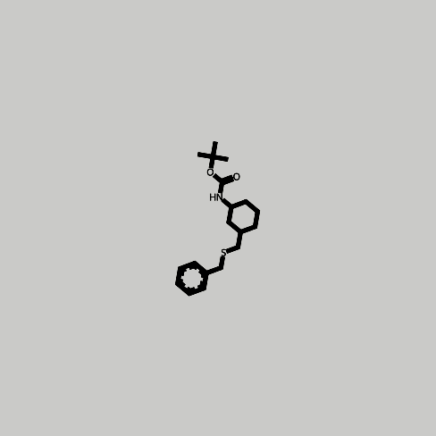 CC(C)(C)OC(=O)NC1CCCC(CSCc2ccccc2)C1